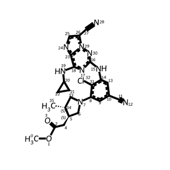 COC(=O)C[C@@H]1CN(c2cc(C#N)cc(Nc3nc(NC4CC4)c4ncc(C#N)n4n3)c2Cl)C[C@H]1C